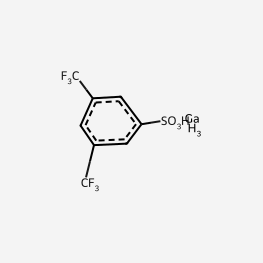 O=S(=O)(O)c1cc(C(F)(F)F)cc(C(F)(F)F)c1.[GaH3]